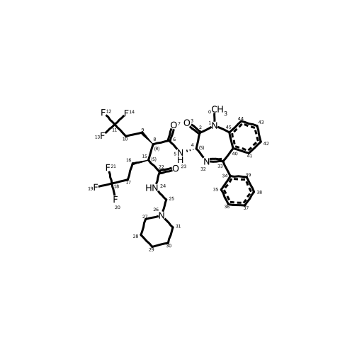 CN1C(=O)[C@@H](NC(=O)[C@H](CCC(F)(F)F)[C@H](CCC(F)(F)F)C(=O)NCN2CCCCC2)N=C(c2ccccc2)c2ccccc21